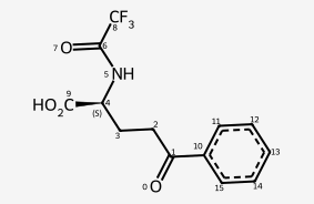 O=C(CC[C@H](NC(=O)C(F)(F)F)C(=O)O)c1ccccc1